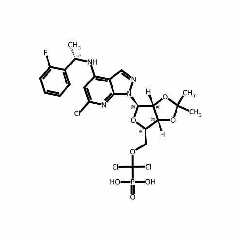 C[C@H](Nc1cc(Cl)nc2c1cnn2[C@@H]1O[C@H](COC(Cl)(Cl)P(=O)(O)O)[C@H]2OC(C)(C)O[C@H]21)c1ccccc1F